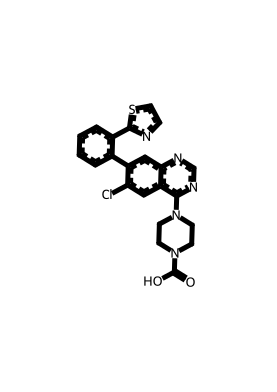 O=C(O)N1CCN(c2ncnc3cc(-c4ccccc4-c4nccs4)c(Cl)cc23)CC1